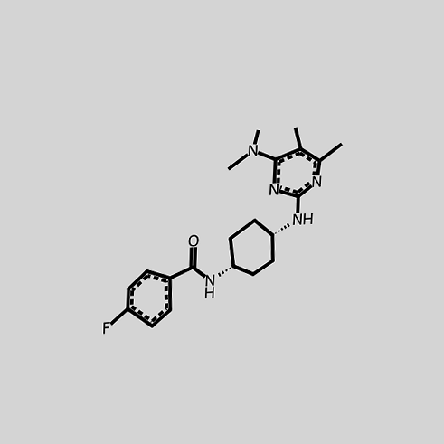 Cc1nc(N[C@H]2CC[C@@H](NC(=O)c3ccc(F)cc3)CC2)nc(N(C)C)c1C